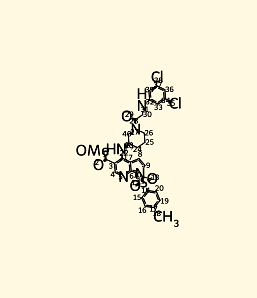 COC(=O)c1cnc2c(ccn2S(=O)(=O)c2ccc(C)cc2)c1N[C@@H]1CCCN(C(=O)CNc2cc(Cl)cc(Cl)c2)C1